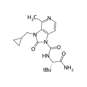 Cc1nccc2c1n(CC1CC1)c(=O)n2C(=O)N[C@H](C(N)=O)C(C)(C)C